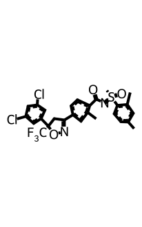 Cc1ccc(S(C)(=O)=NC(=O)c2ccc(C3=NOC(c4cc(Cl)cc(Cl)c4)(C(F)(F)F)C3)cc2C)c(C)c1